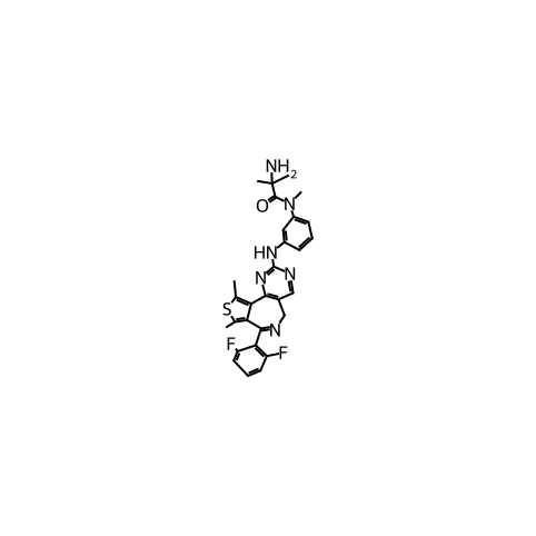 Cc1sc(C)c2c1C(c1c(F)cccc1F)=NCc1cnc(Nc3cccc(N(C)C(=O)C(C)(C)N)c3)nc1-2